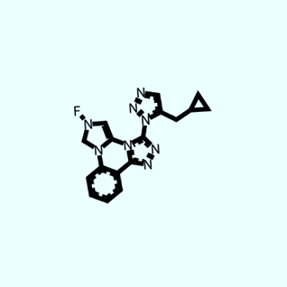 FN1C=C2N(C1)c1ccccc1-c1nnc(-n3nncc3CC3CC3)n12